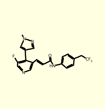 Cn1cc(-c2c(F)cncc2/C=C/C(=O)Nc2ccc(CC(F)(F)F)cc2)cn1